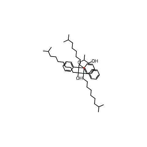 CC(C)CCCCCCCC(CCCCCCCC(C)C)(c1ccccc1)C(O)(CCCCCCCC(C)C)C(OC(C)CO)(c1ccccc1)c1ccccc1